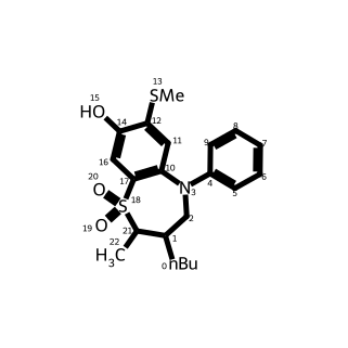 CCCCC1CN(c2ccccc2)c2cc(SC)c(O)cc2S(=O)(=O)C1C